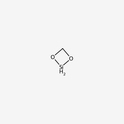 C1O[SiH2]O1